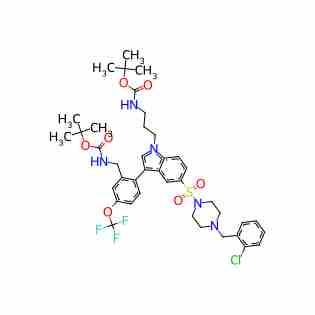 CC(C)(C)OC(=O)NCCCn1cc(-c2ccc(OC(F)(F)F)cc2CNC(=O)OC(C)(C)C)c2cc(S(=O)(=O)N3CCN(Cc4ccccc4Cl)CC3)ccc21